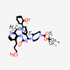 CC(C)c1nccc(CCCO)c1-n1c(=O)nc(N2CCN(C(=O)OC(C)(C)C)CC2C)c2cc(F)c(-c3c(O)cccc3F)nc21